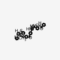 Cc1cccnc1[C@H]1CCC[C@@H](c2ncccc2C)N1CCCN1CCN(C(=O)c2ccc(-c3cc4c(-c5cccc(NC(=O)c6ccccc6)c5C)ncnc4[nH]3)cc2)CC1